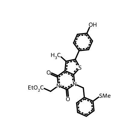 CCOC(=O)Cn1c(=O)c2c(C)c(-c3ccc(O)cc3)sc2n(Cc2ccccc2SC)c1=O